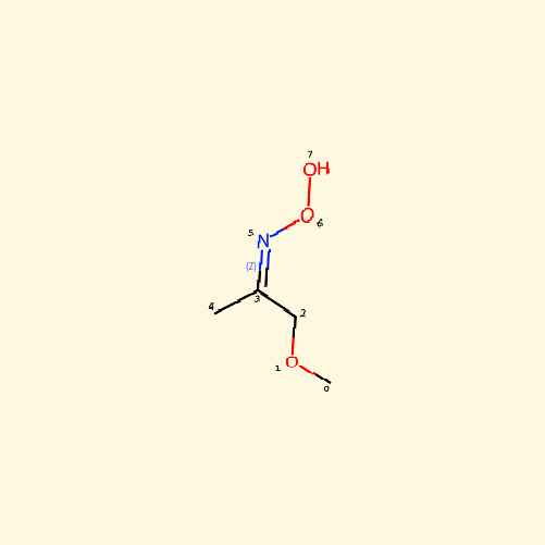 COC/C(C)=N\OO